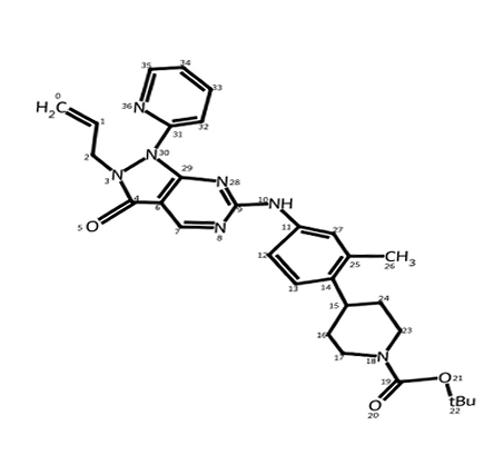 C=CCn1c(=O)c2cnc(Nc3ccc(C4CCN(C(=O)OC(C)(C)C)CC4)c(C)c3)nc2n1-c1ccccn1